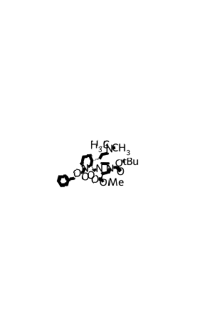 COC(=O)[C@@H]1CN(C(=O)OC(C)(C)C)CCN1C(=O)[C@H]1[C@@H](CCCN(C)C)CCCN1C(=O)OCc1ccccc1